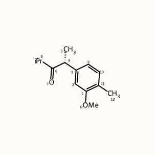 COc1cc([C@@H](C)C(=O)C(C)C)ccc1C